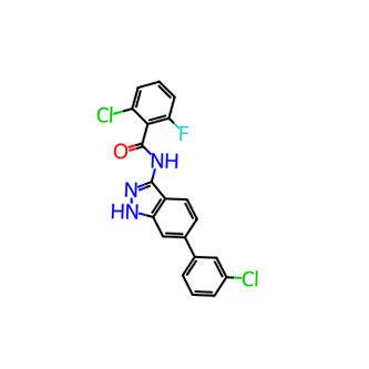 O=C(Nc1n[nH]c2cc(-c3cccc(Cl)c3)ccc12)c1c(F)cccc1Cl